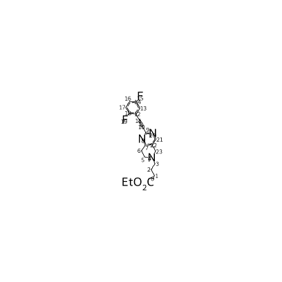 CCOC(=O)CCCN1CCc2nc(C#Cc3cc(F)ccc3F)ncc2C1